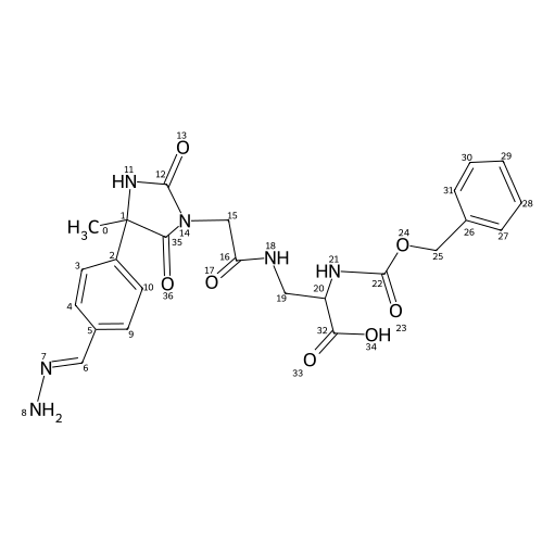 CC1(c2ccc(C=NN)cc2)NC(=O)N(CC(=O)NCC(NC(=O)OCc2ccccc2)C(=O)O)C1=O